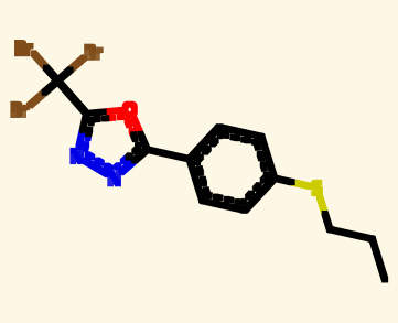 CCCSc1ccc(-c2nnc(C(Br)(Br)Br)o2)cc1